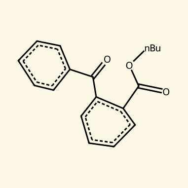 CCCCOC(=O)c1ccccc1C(=O)c1ccccc1